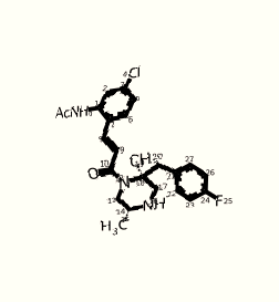 CC(=O)Nc1cc(Cl)ccc1/C=C/C(=O)N1C[C@@H](C)NC[C@]1(C)Cc1ccc(F)cc1